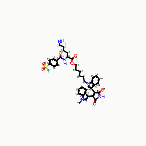 Cn1cc(C2=C(c3cn(CCCCCCOC(=O)C(CCCCN)NC(=O)c4ccc(S(=O)(=O)F)cc4)c4ccccc34)C(=O)NC2=O)c2ccccc21